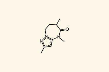 Cc1cc2n(n1)CCC(C)C(=O)N2C